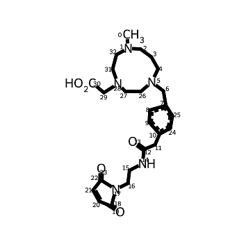 CN1CCCN(Cc2ccc(CC(=O)NCCN3C(=O)C=CC3=O)cc2)CCN(CC(=O)O)CC1